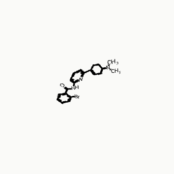 CN(C)C1CC=C(c2cccc(NC(=O)c3ccccc3Br)n2)CC1